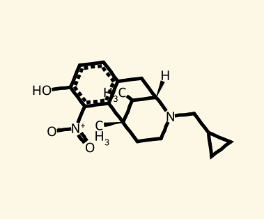 CC1[C@@H]2Cc3ccc(O)c([N+](=O)[O-])c3[C@@]1(C)CCN2CC1CC1